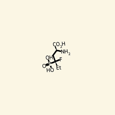 CC[C@](F)(C[C@H](N)C(=O)O)P(=O)(O)O